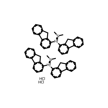 C[Si](C)=[Hf]([c]1cccc2c1Cc1ccccc1-2)[c]1cccc2c1Cc1ccccc1-2.C[Si](C)=[Hf]([c]1cccc2c1Cc1ccccc1-2)[c]1cccc2c1Cc1ccccc1-2.Cl.Cl